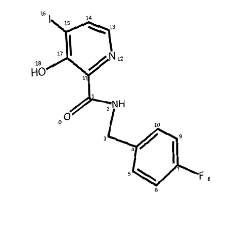 O=C(NCc1ccc(F)cc1)c1nccc(I)c1O